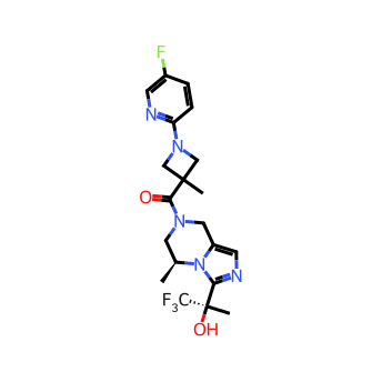 C[C@H]1CN(C(=O)C2(C)CN(c3ccc(F)cn3)C2)Cc2cnc([C@@](C)(O)C(F)(F)F)n21